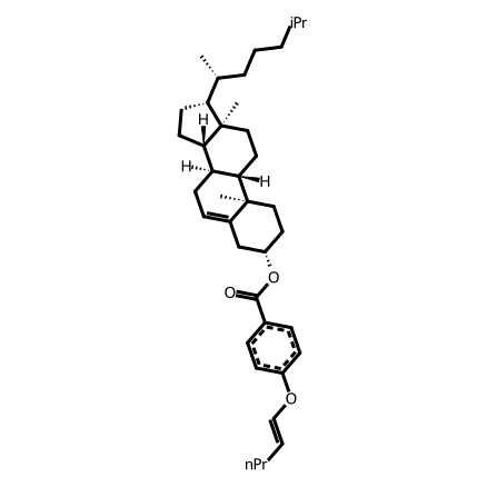 CCCC=COc1ccc(C(=O)O[C@H]2CC[C@@]3(C)C(=CC[C@H]4[C@@H]5CC[C@H]([C@H](C)CCCC(C)C)[C@@]5(C)CC[C@@H]43)C2)cc1